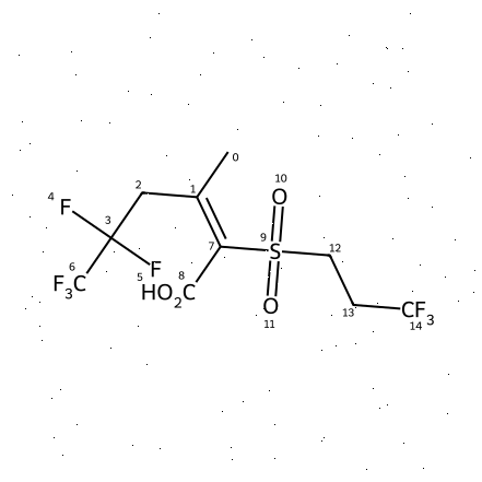 CC(CC(F)(F)C(F)(F)F)=C(C(=O)O)S(=O)(=O)CCC(F)(F)F